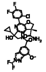 COc1cc(C(=O)NCC(O)(c2cc3c(c(-c4cc(F)c(F)cc4Cl)n2)OC[C@]3(C)C(N)=O)C2CC2)cc2cn(C(F)F)nc12